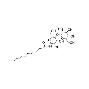 CCCCCCCCCCCC(=O)NC1O[C@H](CO)[C@@H](O[C@@H]2O[C@H](CO)[C@@H](O)[C@H](O)[C@@H]2O)[C@H](O)[C@@H]1O